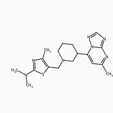 Cc1cc(C2CCCN(Cc3sc(N(C)C)nc3C)C2)n2ncnc2n1